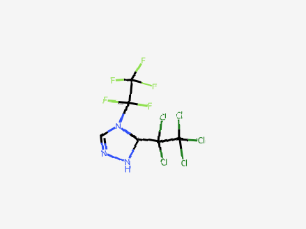 FC(F)(F)C(F)(F)N1C=NNC1C(Cl)(Cl)C(Cl)(Cl)Cl